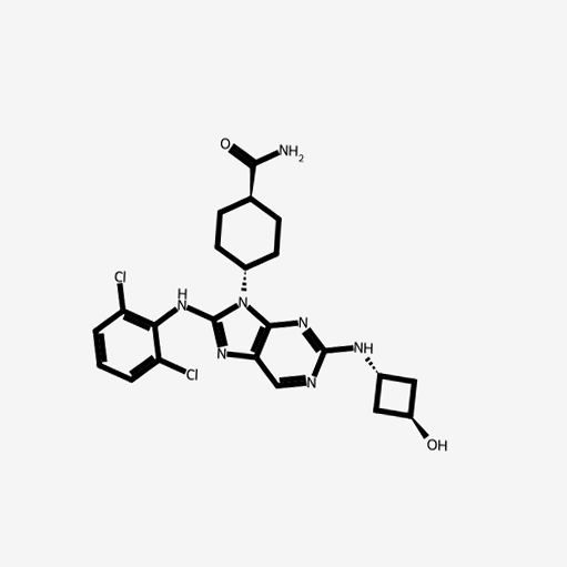 NC(=O)[C@H]1CC[C@H](n2c(Nc3c(Cl)cccc3Cl)nc3cnc(N[C@H]4C[C@H](O)C4)nc32)CC1